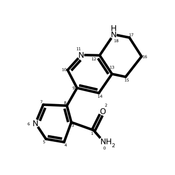 NC(=O)c1ccncc1-c1cnc2c(c1)CCCN2